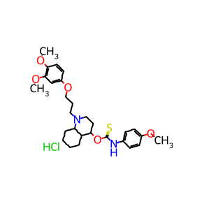 COc1ccc(NC(=S)OC2CCN(CCCOc3ccc(OC)c(OC)c3)C3CCCCC23)cc1.Cl